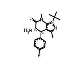 Cc1nn(C(C)(C)C)c2c1[C@H](c1ccc(F)cc1)[C@H](N)C(=O)N2C